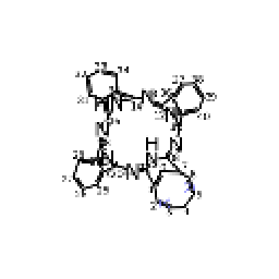 C1=C2/C=C\C/C=C\C1c1nc3nc(nc4[nH]c(nc5nc(nc2[nH]1)-c1ccccc1-5)c1ccccc41)-c1ccccc1-3